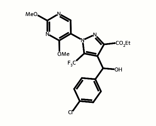 CCOC(=O)c1nn(-c2cnc(OC)nc2OC)c(C(F)(F)F)c1C(O)c1ccc(Cl)cc1